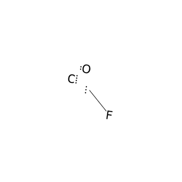 [C].[C]F.[O]